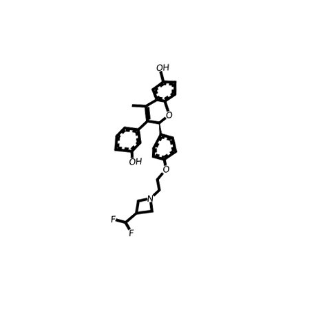 CC1=C(c2cccc(O)c2)[C@H](c2ccc(OCCN3CC(C(F)F)C3)cc2)Oc2ccc(O)cc21